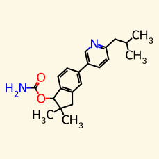 CC(C)Cc1ccc(-c2ccc3c(c2)CC(C)(C)C3OC(N)=O)cn1